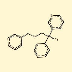 [CH2]CC(CCCc1ccccc1)(c1ccccc1)c1cccnc1